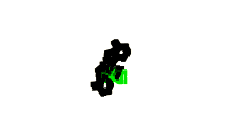 CC1=CC2=C(C)CCCC2=[C]1[Zr]1([C]2=C3CCCC(C)=C3C=C2C)[CH2][CH2]1.Cl.Cl